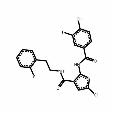 O=C(Nc1sc(Cl)cc1C(=O)NCCc1ccccc1F)c1ccc(O)c(F)c1